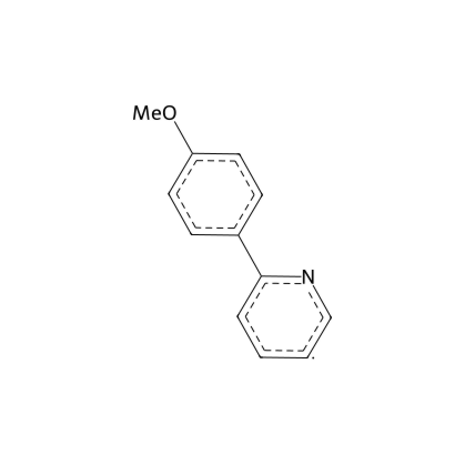 COc1ccc(-c2cc[c]cn2)cc1